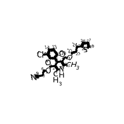 CC1=C(C(=O)OCCC#N)C(c2cccc(Cl)c2)C(C(=O)OCCCc2cccs2)=C(C)N1